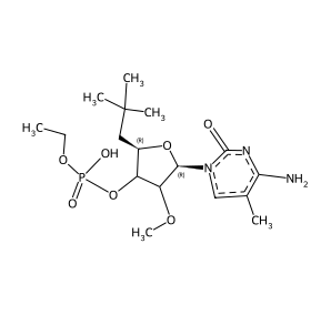 CCOP(=O)(O)OC1C(OC)[C@H](n2cc(C)c(N)nc2=O)O[C@@H]1CC(C)(C)C